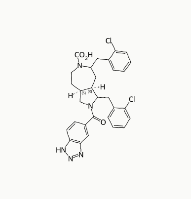 O=C(O)N1CC[C@@H]2CN(C(=O)c3ccc4[nH]nnc4c3)C(Cc3ccccc3Cl)[C@@H]2CC1Cc1ccccc1Cl